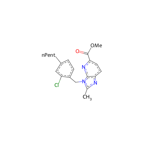 CCCCCc1ccc(Cn2c(C)nc3ccc(C(=O)OC)nc32)c(Cl)c1